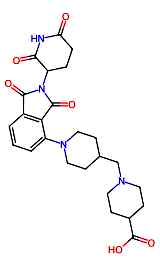 O=C1CCC(N2C(=O)c3cccc(N4CCC(CN5CCC(C(=O)O)CC5)CC4)c3C2=O)C(=O)N1